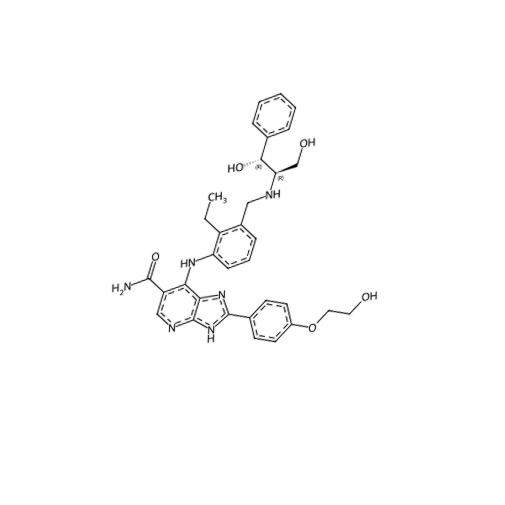 CCc1c(CN[C@H](CO)[C@H](O)c2ccccc2)cccc1Nc1c(C(N)=O)cnc2[nH]c(-c3ccc(OCCO)cc3)nc12